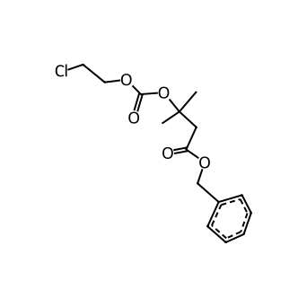 CC(C)(CC(=O)OCc1ccccc1)OC(=O)OCCCl